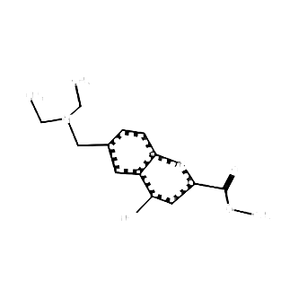 CCN(CC)Cc1ccc2nc(C(=O)OC)cc(O)c2c1